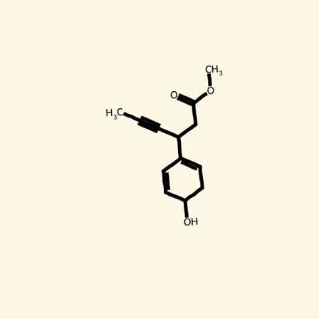 CC#CC(CC(=O)OC)C1=CCC(O)C=C1